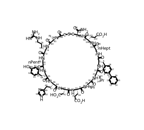 CCCCCCC[C@@H]1NC(=O)[C@H](Cc2ccc(-c3ccccc3)cc2)NC(=O)[C@H](CC(C)C)NC(=O)[C@H](C(C)C)NC(=O)[C@H](CCC(=O)O)NC(=O)[C@H](CC(=O)O)NC(=O)[C@H](CCc2c[nH]cn2)NC(=O)[C@H](Cc2ccc(O)cc2)NC(=O)[C@H](CCCCC)NC(=O)[C@H](CCCNC(=N)N)NC(=O)[C@H](C)NC(=O)CSC[C@@H](C(N)=O)NC(=O)[C@H](CCC(=O)O)NC1=O